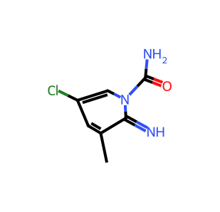 Cc1cc(Cl)cn(C(N)=O)c1=N